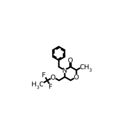 CC1OCC(COC(C)(F)F)N(Cc2ccccc2)C1=O